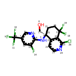 OC[C@]1(Nc2ncc(C(F)(F)F)cc2F)CCC(F)(F)c2c1ccnc2Cl